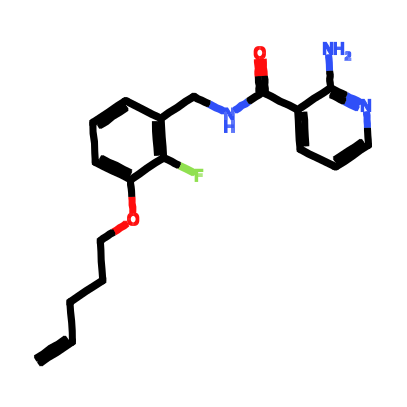 C=CCCCOc1cccc(CNC(=O)c2cccnc2N)c1F